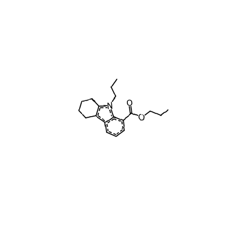 CCCOC(=O)c1cccc2c3c(n(CCC)c12)CCCC3